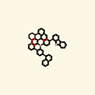 c1ccc(-c2ccc(-c3cccc4ccccc34)cc2N(c2ccc(-c3cccc4c3oc3ccccc34)cc2)c2ccccc2-c2cccc3cccc(C4CCCCC4)c23)cc1